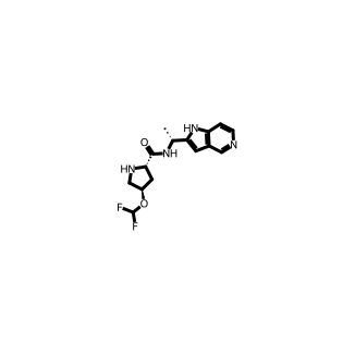 C[C@@H](NC(=O)[C@@H]1C[C@@H](OC(F)F)CN1)c1cc2cnccc2[nH]1